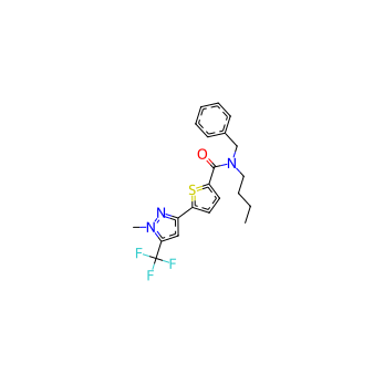 CCCCN(Cc1ccccc1)C(=O)c1ccc(-c2cc(C(F)(F)F)n(C)n2)s1